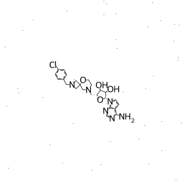 Nc1ncnc2c1ccn2[C@@H]1O[C@H](CN2CCOC3(C2)CN(Cc2ccc(Cl)cc2)C3)[C@@H](O)[C@H]1O